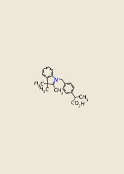 CC1=[N+](Cc2ccc(C(C)C(=O)O)cc2)c2ccccc2C1(C)C